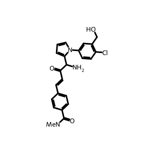 CNC(=O)c1ccc(/C=C/C(=O)C(N)c2cccn2-c2ccc(Cl)c(CO)c2)cc1